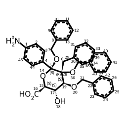 Nc1ccc([C@@]2(OCc3ccccc3)O[C@H](C(=O)O)[C@@H](O)[C@H](OCc3ccccc3)[C@@]2(Cc2ccccc2)OCc2ccccc2)cc1